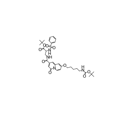 CC(C)(C)OC(=O)NCCCCCOc1ccn2c(=O)cc(C(=O)NCC(NS(=O)(=O)c3ccccc3)C(=O)OC(C)(C)C)cc2c1